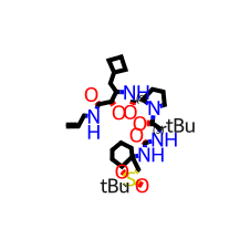 C=CCNC(=O)C(=O)C(CC1CCC1)NC(=O)[C@@H]1CCCN1C(=O)[C@@H](NC(=O)NC1(CS(=O)(=O)C(C)(C)C)CCCCC1)C(C)(C)C